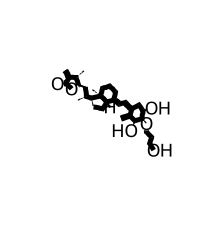 C=C1/C(=C\C=C2/CCC[C@]3(C)[C@@H]([C@H](C)C[C@H]4OC(=O)C(=C)[C@@H]4C)CC[C@@H]23)C[C@@H](O)[C@H](OCCCO)[C@@H]1O